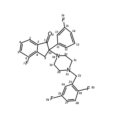 O=C1c2cccc(F)c2CC1(c1cccc(F)c1)N1CCN(Cc2cc(F)ccc2F)CC1